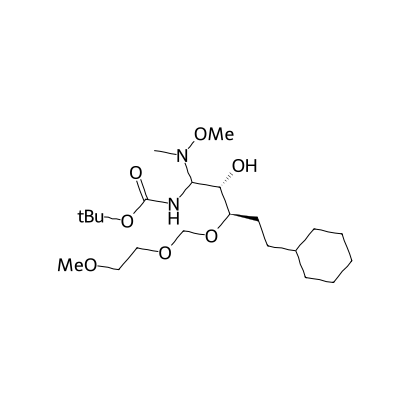 COCCOCO[C@H](CCC1CCCCC1)[C@@H](O)C(NC(=O)OC(C)(C)C)N(C)OC